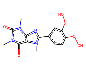 Cn1c(=O)c2c(nc(-c3ccc(OO)c(OO)c3)n2C)n(C)c1=O